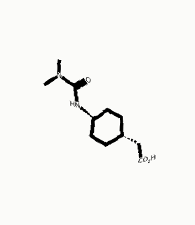 CN(C)C(=O)N[C@H]1CC[C@H](CC(=O)O)CC1